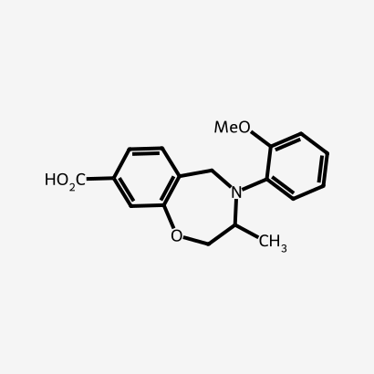 COc1ccccc1N1Cc2ccc(C(=O)O)cc2OCC1C